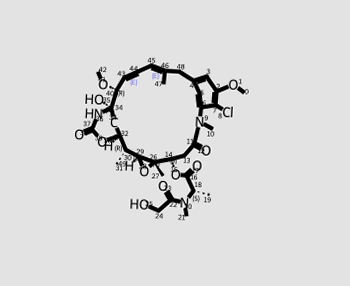 COc1cc2cc(c1Cl)N(C)C(=O)C[C@H](OC(=O)[C@H](C)N(C)C(=O)CO)[C@]1(C)O[C@H]1[C@H](C)[C@@H]1C[C@@](O)(NC(=O)O1)[C@H](OC)/C=C/C=C(\C)C2